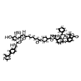 Cc1ncsc1-c1ccc(CNC(=O)[C@@H]2C[C@@H](O)CN2C(=O)[C@@H](NC(=O)CCCCCC(=O)N2CCC(c3nnc(-c4cnc(Nc5ccc6c(c5)C(C)(C)OC6=O)nc4N[C@H](CO)c4ccccc4)o3)CC2)C(C)(C)C)cc1